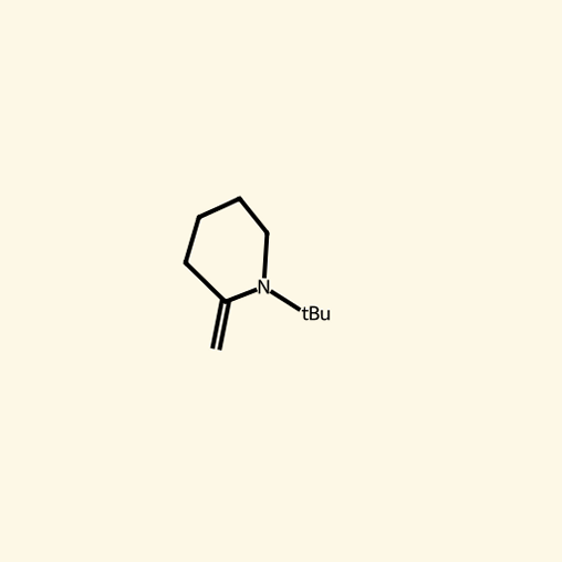 C=C1CCCCN1C(C)(C)C